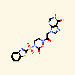 O=C(Cn1cnc2c(=O)[nH]cnc21)N1CCN(S(=O)(=O)c2nc3ccccc3s2)C(=O)O1